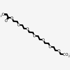 C=CC(=O)OCCOCCOCCOCCOCCOCCOCC(=O)O